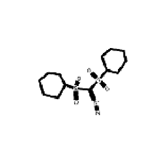 [N-]=[N+]=C(S(=O)(=O)C1CCCCC1)S(=O)(=O)C1CCCCC1